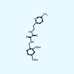 COc1ccc(CNC(=O)C(=O)NCCc2ccc(C)cn2)c(OC)c1